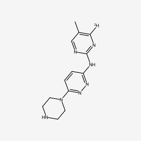 [2H]c1nc(Nc2ccc(N3CCNCC3)nn2)ncc1C